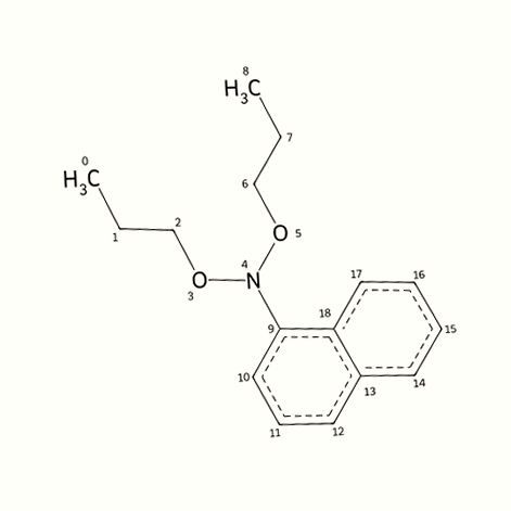 CCCON(OCCC)c1cccc2ccccc12